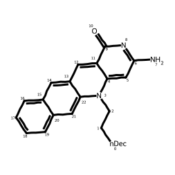 CCCCCCCCCCCCn1c2cc(N)nc(=O)c-2cc2cc3ccccc3cc21